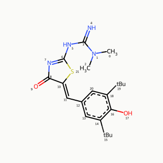 CN(C)C(=N)NC1=NC(=O)C(=Cc2cc(C(C)(C)C)c(O)c(C(C)(C)C)c2)S1